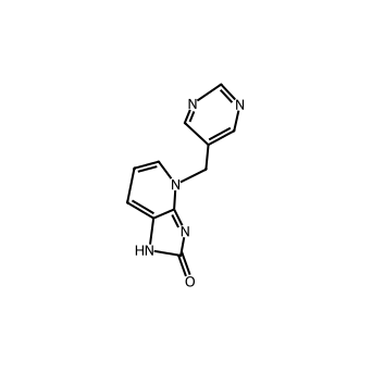 O=c1nc2n(Cc3cncnc3)cccc-2[nH]1